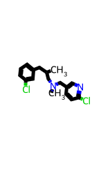 CC(Cc1cccc(Cl)c1)CN(C)Cc1ccc(Cl)nc1